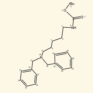 CC(C)(C)OC(=O)NCCCCCN(Cc1ccccc1)Cc1ccccc1